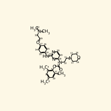 Cc1cc(C)c(OC(=O)N(CCN2CCOCC2)c2ccnc(Nc3ccc(OCCN(C)C)cc3)n2)c(C)c1